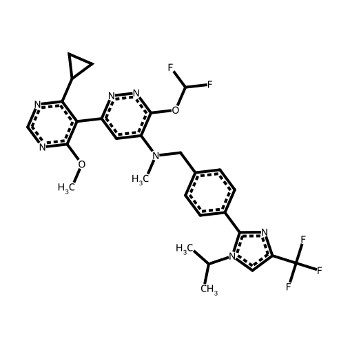 COc1ncnc(C2CC2)c1-c1cc(N(C)Cc2ccc(-c3nc(C(F)(F)F)cn3C(C)C)cc2)c(OC(F)F)nn1